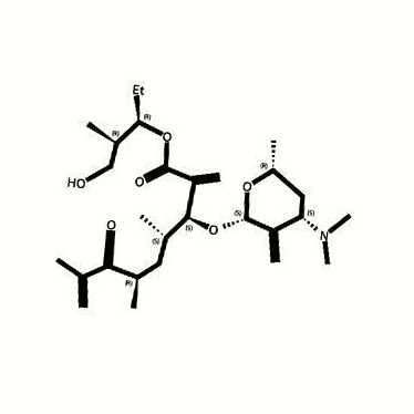 C=C(C)C(=O)[C@H](C)C[C@H](C)[C@H](O[C@@H]1O[C@H](C)C[C@H](N(C)C)C1=C)C(=C)C(=O)O[C@H](CC)[C@H](C)CO